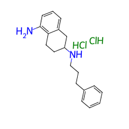 Cl.Cl.Nc1cccc2c1CCC(NCCCc1ccccc1)C2